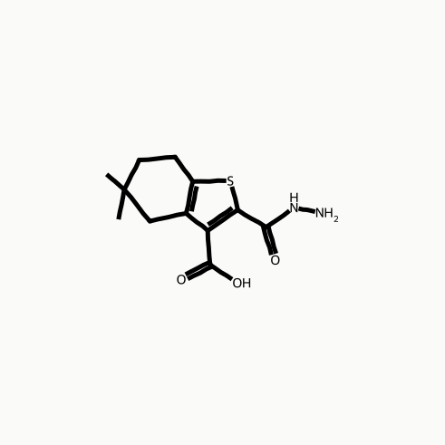 CC1(C)CCc2sc(C(=O)NN)c(C(=O)O)c2C1